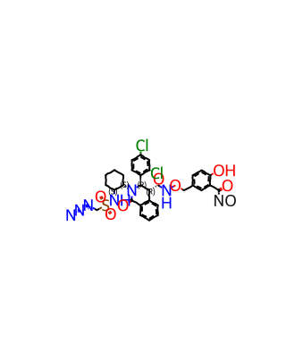 [N-]=[N+]=NCS(=O)(=O)N[C@H]1CCCC[C@@H]1N1C(=O)c2ccccc2[C@@H](C(=O)NOCc2ccc(O)c(C(=O)N=O)c2)[C@@H]1c1ccc(Cl)cc1Cl